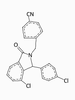 N#Cc1ccc(CN2C(=O)c3cccc(Cl)c3C2c2ccc(Cl)cc2)cc1